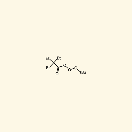 CCC(CC)(CC)C(=O)OOOC(C)(C)C